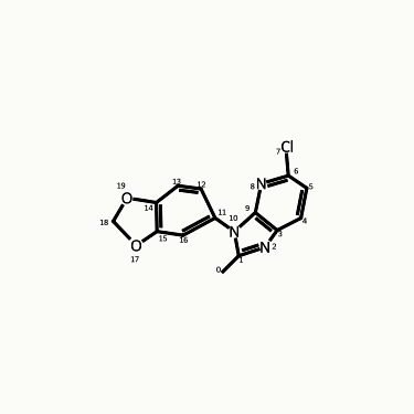 Cc1nc2ccc(Cl)nc2n1-c1ccc2c(c1)OCO2